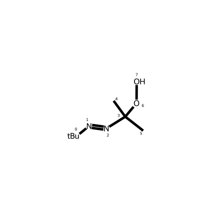 CC(C)(C)/N=N/C(C)(C)OO